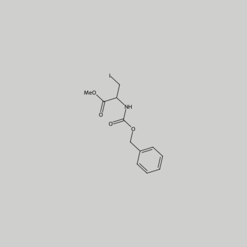 COC(=O)C(CI)NC(=O)OCc1ccccc1